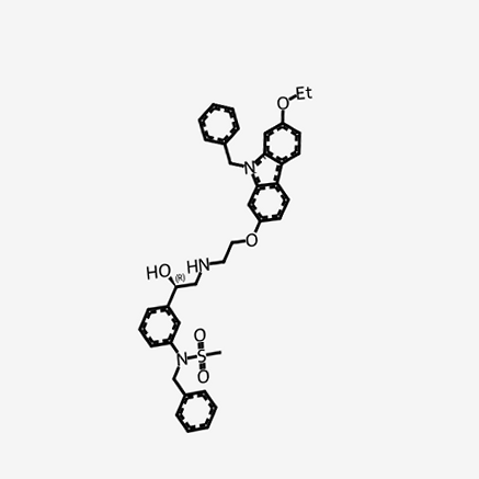 CCOc1ccc2c3ccc(OCCNC[C@H](O)c4cccc(N(Cc5ccccc5)S(C)(=O)=O)c4)cc3n(Cc3ccccc3)c2c1